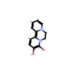 BrC1=C(Br)N2CCN3C=CC=CC3=C2C=C1